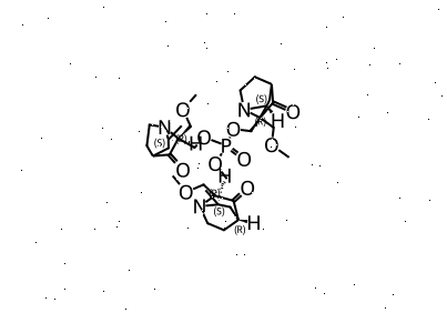 COC[C@@]1(COP(=O)(OC[C@]2(COC)C(=O)C3CCN2[C@@H](C)C3)OC[C@]2(COC)C(=O)[C@@H]3CCN2[C@@H](C)C3)C(=O)C2CCN1[C@@H](C)C2